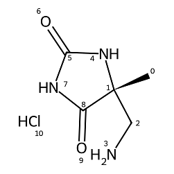 C[C@]1(CN)NC(=O)NC1=O.Cl